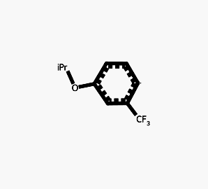 CC(C)Oc1cc[c]c(C(F)(F)F)c1